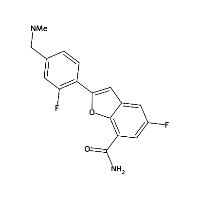 CNCc1ccc(-c2cc3cc(F)cc(C(N)=O)c3o2)c(F)c1